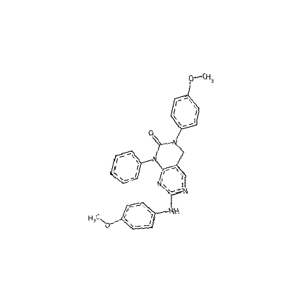 COc1ccc(Nc2ncc3c(n2)N(c2ccccc2)C(=O)N(c2ccc(OC)cc2)C3)cc1